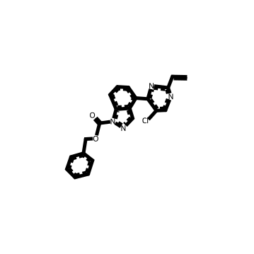 C=Cc1ncc(Cl)c(-c2cccc3c2cnn3C(=O)OCc2ccccc2)n1